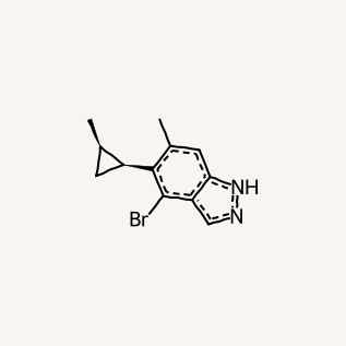 Cc1cc2[nH]ncc2c(Br)c1[C@H]1C[C@H]1C